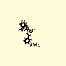 COc1cccc(CC[S+]([O-])c2nc3cnccc3[nH]2)c1